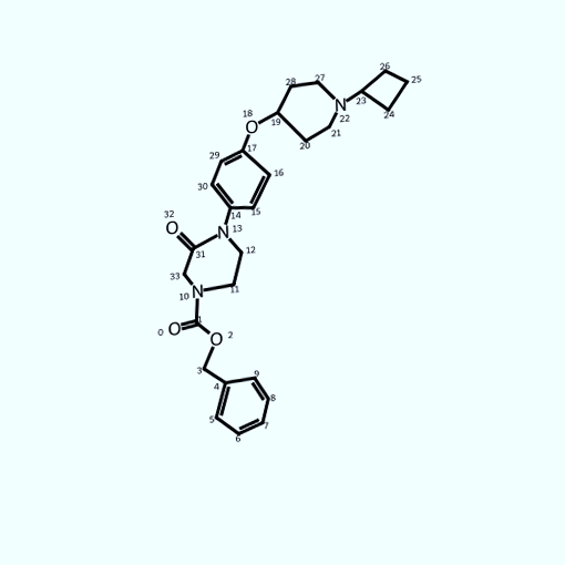 O=C(OCc1ccccc1)N1CCN(c2ccc(OC3CCN(C4CCC4)CC3)cc2)C(=O)C1